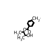 [CH2]c1ccc(C(=O)OC(C)C(C)O)cc1